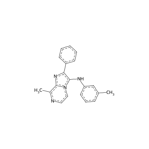 Cc1cccc(Nc2c(-c3ccccc3)nc3c(C)nccn23)c1